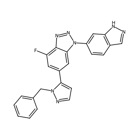 Fc1cc(-c2ccnn2Cc2ccccc2)cc2c1nnn2-c1ccc2cn[nH]c2c1